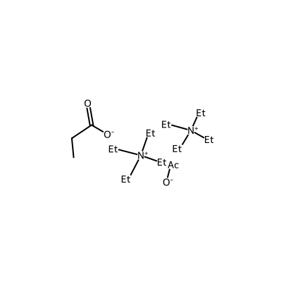 CC(=O)[O-].CCC(=O)[O-].CC[N+](CC)(CC)CC.CC[N+](CC)(CC)CC